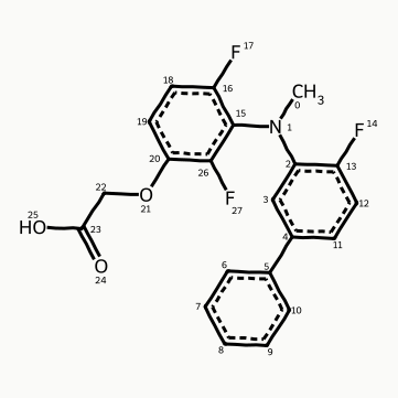 CN(c1cc(-c2ccccc2)ccc1F)c1c(F)ccc(OCC(=O)O)c1F